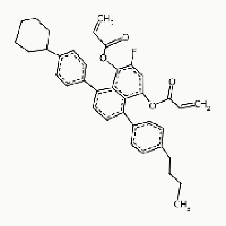 C=CC(=O)Oc1cc(F)c(OC(=O)C=C)c2c(-c3ccc(C4CCCCC4)cc3)ccc(-c3ccc(CCCC)cc3)c12